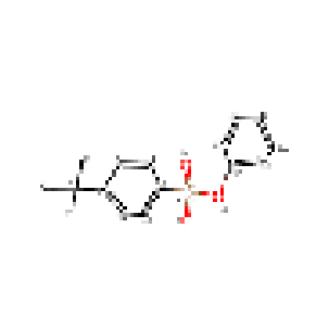 CC(C)(C)c1ccc(S(=O)(=O)Oc2ccccc2)cc1